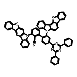 N#Cc1c(-c2ccc(-c3nc(-c4ccccc4)nc(-c4ccccc4)n3)cc2-n2c3ccccc3c3c4sc5ccccc5c4ccc32)cccc1-n1c2ccccc2c2cc3c(cc21)sc1ccccc13